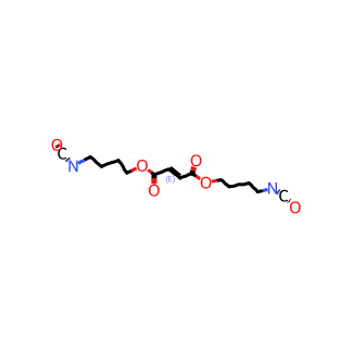 O=C=NCCCCOC(=O)/C=C/C(=O)OCCCCN=C=O